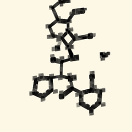 CC(=O)OCC1=C(C(=O)[O-])N2C(=O)[C@@H](NC(=O)C(NC(=O)c3csccc3=O)c3ccccc3)[C@H]2SC1.[Na+]